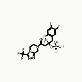 N[C@@](CC(=O)N1CCn2c(nnc2C(F)(F)F)C1)(Cc1cc(F)c(F)cc1F)OP(=O)(O)O